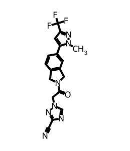 Cn1nc(C(F)(F)F)cc1-c1ccc2c(c1)CN(C(=O)Cn1cnc(C#N)n1)C2